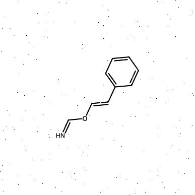 N=COC=Cc1ccccc1